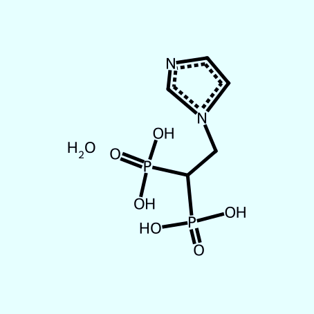 O.O=P(O)(O)C(Cn1ccnc1)P(=O)(O)O